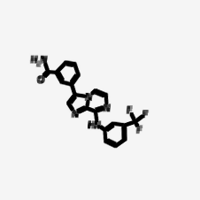 NC(=O)c1cccc(-c2cnc3c(Nc4cccc(C(F)(F)F)c4)nccn23)c1